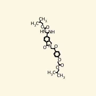 CC(C)COC(=O)COc1ccc(C(=O)CN2Cc3cc(C(=N)NC(=O)OCC(C)C)ccc3C2=O)cc1